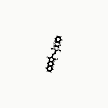 CN1C(=CC=C2C(=O)c3cc4ccccc4cc3C2=O)N(C)c2nc3ccccc3nc21